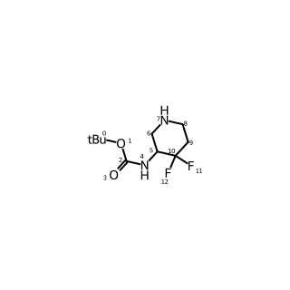 CC(C)(C)OC(=O)NC1CNCCC1(F)F